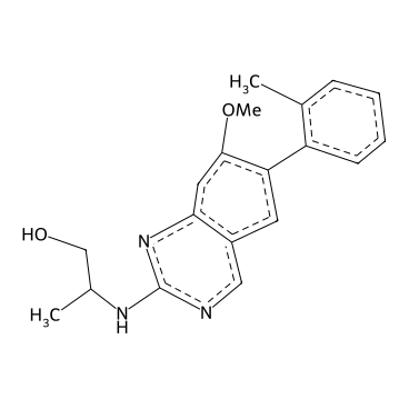 COc1cc2nc(NC(C)CO)ncc2cc1-c1ccccc1C